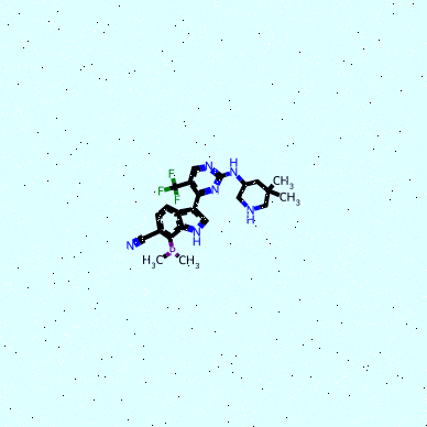 CP(C)c1c(C#N)ccc2c(-c3nc(NC4CNCC(C)(C)C4)ncc3C(F)(F)F)c[nH]c12